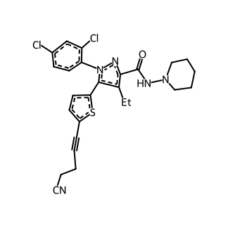 CCc1c(C(=O)NN2CCCCC2)nn(-c2ccc(Cl)cc2Cl)c1-c1ccc(C#CCCC#N)s1